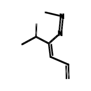 C=C/C=C(\N=N/C)C(C)C